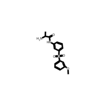 COc1cccc(S(=O)(=O)c2cccc(NC(=O)C(C)N)c2)c1